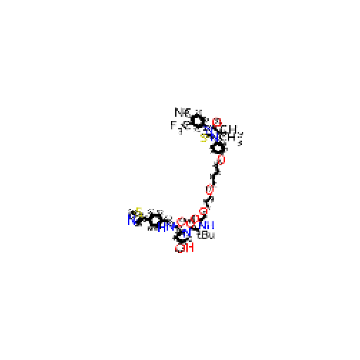 CC(C)(C)C(NC(=O)COCCCOCCCCOc1ccc(N2C(=S)N(c3ccc(C#N)c(C(F)(F)F)c3)C(=O)C2(C)C)cc1)C(=O)N1C[C@H](O)C[C@H]1C(=O)NCc1ccc(-c2cncs2)cc1